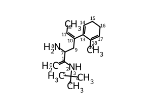 C=C(NC(C)(C)C)C(N)C/C(=C/C)C1=CCCC=C1C